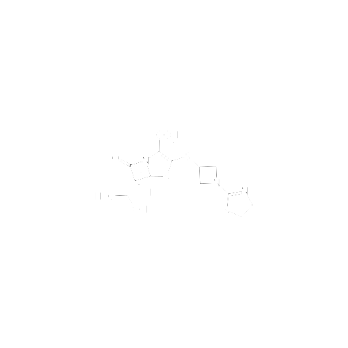 CC(O)[C@@H]1C(=O)N2C(C(=O)O)=C(SC3CN(C4=NCCS4)C3)S[C@@H]12